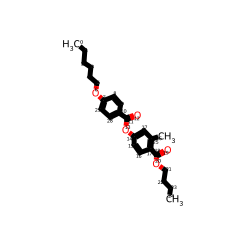 CCCCCCOc1ccc(C(=O)Oc2ccc(C(=O)OCCCC)c(C)c2)cc1